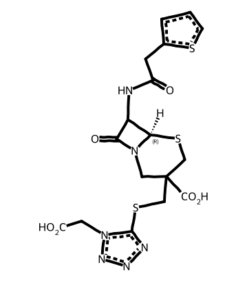 O=C(O)Cn1nnnc1SCC1(C(=O)O)CS[C@@H]2C(NC(=O)Cc3cccs3)C(=O)N2C1